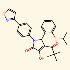 CC(C)Oc1ccccc1C1C(C(=O)C(C)(C)C)=C(O)C(=O)N1c1ccc(-c2ccon2)cc1